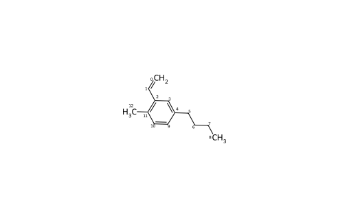 C=Cc1cc(CCCC)ccc1C